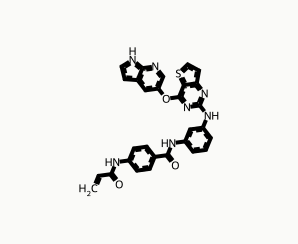 C=CC(=O)Nc1ccc(C(=O)Nc2cccc(Nc3nc(Oc4cnc5[nH]ccc5c4)c4sccc4n3)c2)cc1